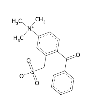 C[N+](C)(C)c1ccc(C(=O)c2ccccc2)c(CS(=O)(=O)[O-])c1